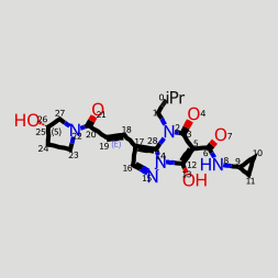 CC(C)Cn1c(=O)c(C(=O)NC2CC2)c(O)n2ncc(/C=C/C(=O)N3CC[C@H](O)C3)c12